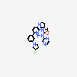 O=C(Nc1cnccn1)N1c2nc(-c3cccc(N4CC[C@H](F)C4)c3)ccc2N2CC[C@H]1C2